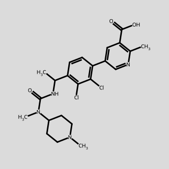 Cc1ncc(-c2ccc(C(C)NC(=O)N(C)C3CCN(C)CC3)c(Cl)c2Cl)cc1C(=O)O